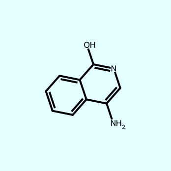 Nc1cnc(O)c2ccccc12